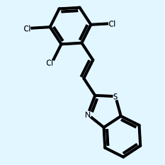 Clc1ccc(Cl)c(/C=C/c2nc3ccccc3s2)c1Cl